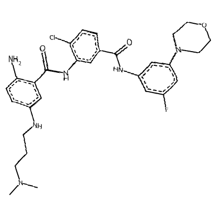 CN(C)CCCNc1ccc(N)c(C(=O)Nc2cc(C(=O)Nc3cc(F)cc(N4CCOCC4)c3)ccc2Cl)c1